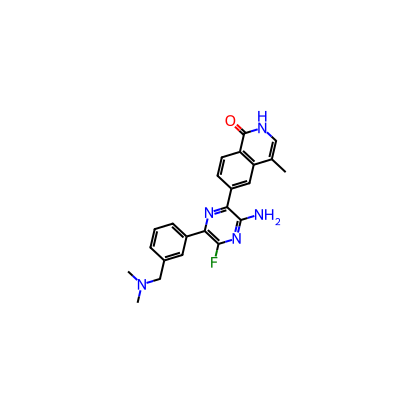 Cc1c[nH]c(=O)c2ccc(-c3nc(-c4cccc(CN(C)C)c4)c(F)nc3N)cc12